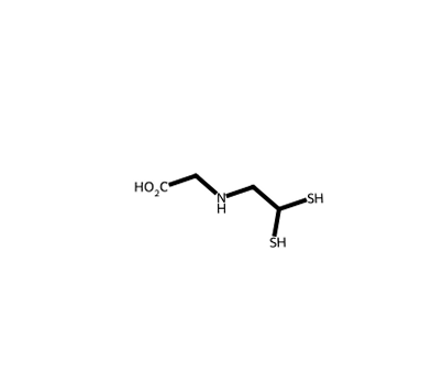 O=C(O)CNCC(S)S